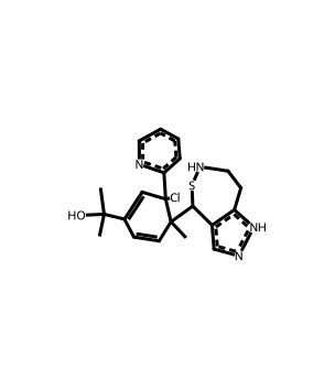 CC(C)(O)C1=CC(Cl)(c2ccccn2)C(C)(C2SNCCc3[nH]ncc32)C=C1